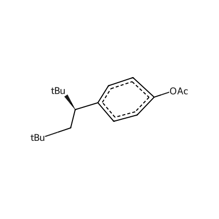 CC(=O)Oc1ccc([C@@H](CC(C)(C)C)C(C)(C)C)cc1